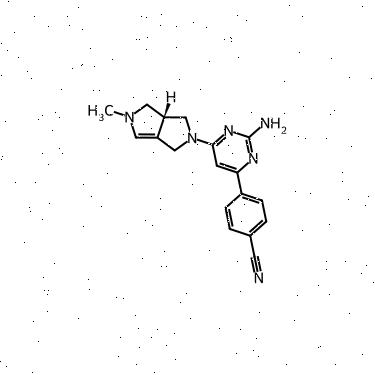 CN1C=C2CN(c3cc(-c4ccc(C#N)cc4)nc(N)n3)C[C@H]2C1